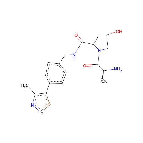 Cc1ncsc1-c1ccc(CNC(=O)C2CC(O)CN2C(=O)[C@@H](N)C(C)(C)C)cc1